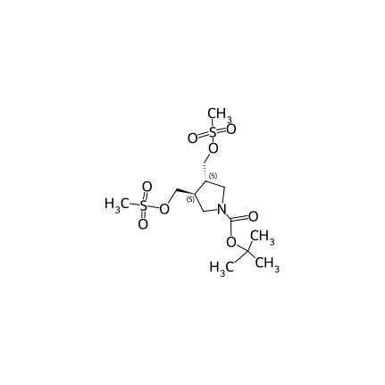 CC(C)(C)OC(=O)N1C[C@@H](COS(C)(=O)=O)[C@H](COS(C)(=O)=O)C1